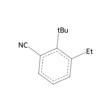 CCc1cccc(C#N)c1C(C)(C)C